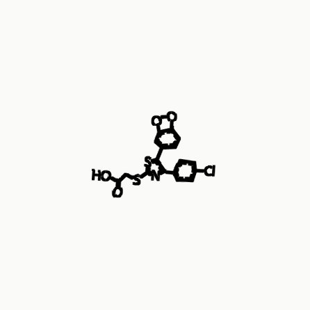 O=C(O)CSc1nc(-c2ccc(Cl)cc2)c(-c2ccc3c(c2)OCO3)s1